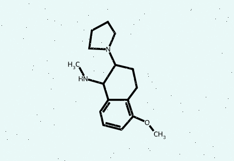 CNC1c2cccc(OC)c2CCC1N1CCCC1